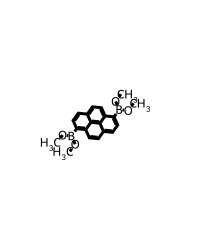 COB(OC)c1ccc2ccc3c(B(OC)OC)ccc4ccc1c2c43